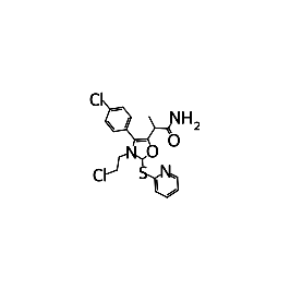 CC(C(N)=O)C1=C(c2ccc(Cl)cc2)N(CCCl)C(Sc2ccccn2)O1